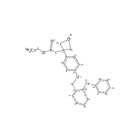 CCOC(=O)CC1(c2ccc(OCc3ccccc3Oc3ccccc3)cc2)COC1